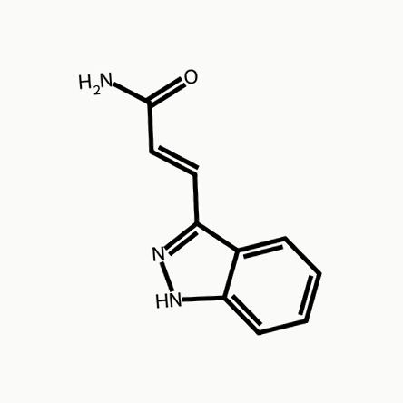 NC(=O)C=Cc1n[nH]c2ccccc12